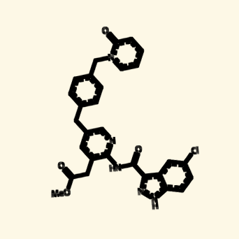 COC(=O)Cc1cc(Cc2ccc(Cn3ccccc3=O)cc2)cnc1NC(=O)c1n[nH]c2ccc(Cl)cc12